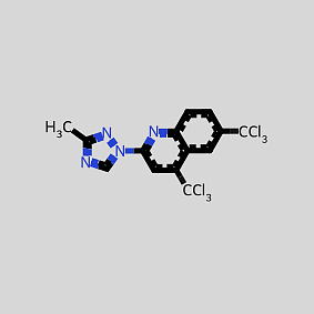 Cc1ncn(-c2cc(C(Cl)(Cl)Cl)c3cc(C(Cl)(Cl)Cl)ccc3n2)n1